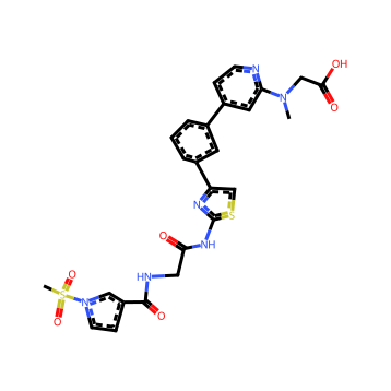 CN(CC(=O)O)c1cc(-c2cccc(-c3csc(NC(=O)CNC(=O)c4ccn(S(C)(=O)=O)c4)n3)c2)ccn1